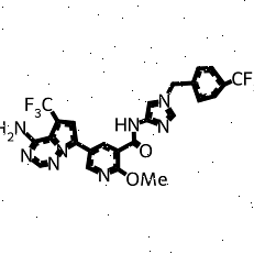 COc1ncc(-c2cc(C(F)(F)F)c3c(N)ncnn23)cc1C(=O)Nc1cn(Cc2ccc(C(F)(F)F)cc2)cn1